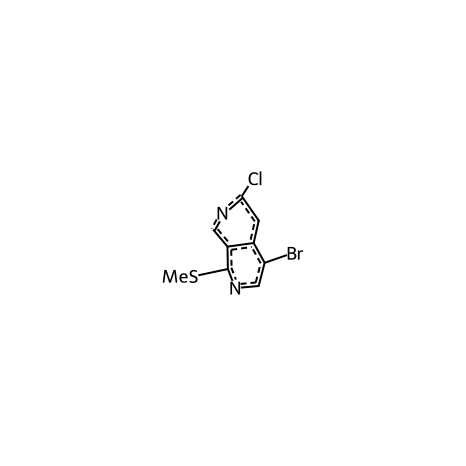 CSc1ncc(Br)c2cc(Cl)ncc12